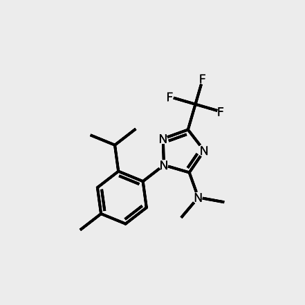 Cc1ccc(-n2nc(C(F)(F)F)nc2N(C)C)c(C(C)C)c1